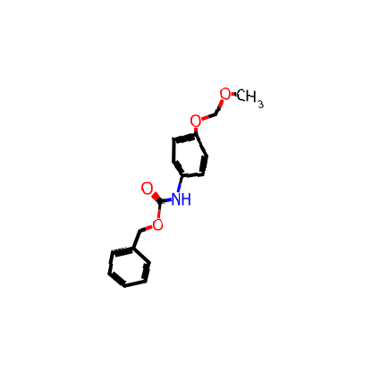 COCOc1ccc(NC(=O)OCc2ccccc2)cc1